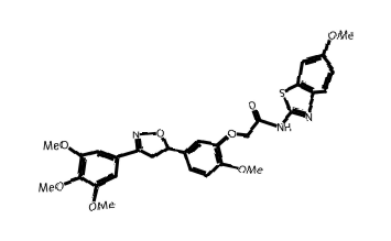 COc1ccc2nc(NC(=O)COc3cc(C4CC(c5cc(OC)c(OC)c(OC)c5)=NO4)ccc3OC)sc2c1